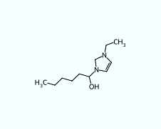 CCCCCC(O)N1C=CN(CC)C1